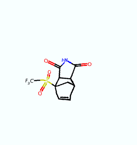 O=C1NC(=O)C2C1C1C=CC2(S(=O)(=O)C(F)(F)F)C1